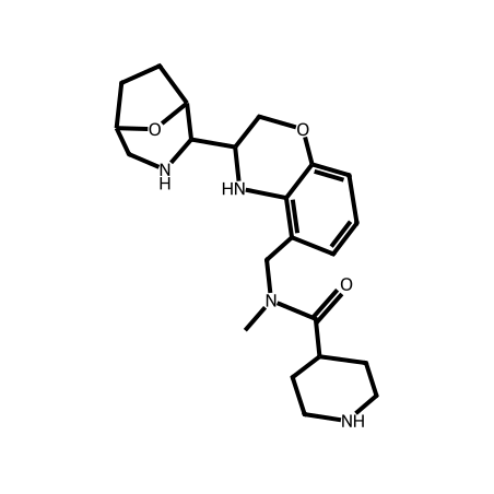 CN(Cc1cccc2c1NC(C1NCC3CCC1O3)CO2)C(=O)C1CCNCC1